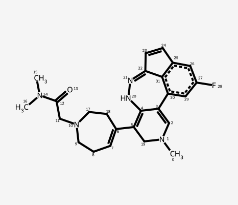 CN1C=C2C(=C(C3=CCCN(CC(=O)N(C)C)CC3)C1)NN=C1C=Cc3cc(F)cc2c31